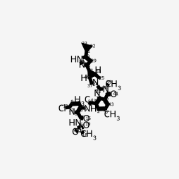 Cc1cc([C@@H](C)Nc2ccc(Cl)nc2C(=O)NS(C)(=O)=O)c2nc(N3C[C@@H]4C(c5cc(C6CC6)[nH]n5)[C@@H]4C3)n(C)c(=O)c2c1